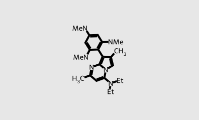 CCN(CC)c1cc(C)nc2c(-c3c(NC)cc(NC)cc3NC)c(C)cn12